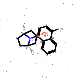 N#Cc1ccc(N2[C@@H]3CC[C@H]2C[C@H](O)C3)c2ccccc12